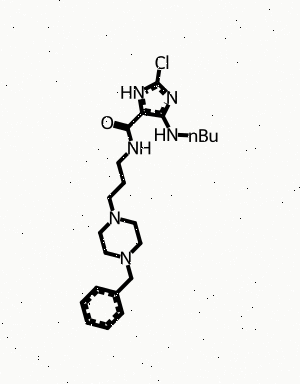 CCCCNc1nc(Cl)[nH]c1C(=O)NCCCN1CCN(Cc2ccccc2)CC1